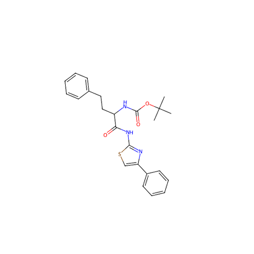 CC(C)(C)OC(=O)NC(CCc1ccccc1)C(=O)Nc1nc(-c2ccccc2)cs1